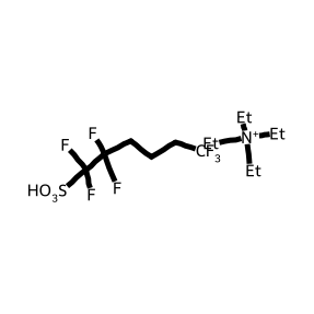 CC[N+](CC)(CC)CC.O=S(=O)(O)C(F)(F)C(F)(F)CCCC(F)(F)F